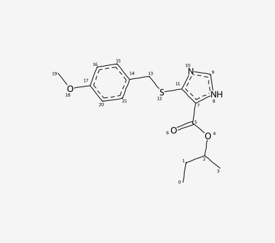 CCC(C)OC(=O)c1[nH]cnc1SCc1ccc(OC)cc1